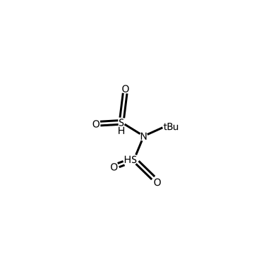 CC(C)(C)N([SH](=O)=O)[SH](=O)=O